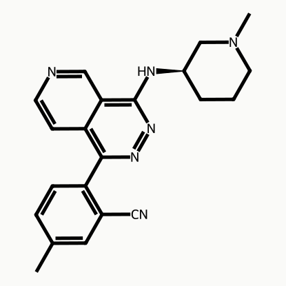 Cc1ccc(-c2nnc(N[C@@H]3CCCN(C)C3)c3cnccc23)c(C#N)c1